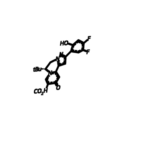 CC(C)(C)[C@@H]1Cn2nc(-c3cc(F)c(F)cc3O)cc2-c2cc(=O)c(C(=O)O)cn21